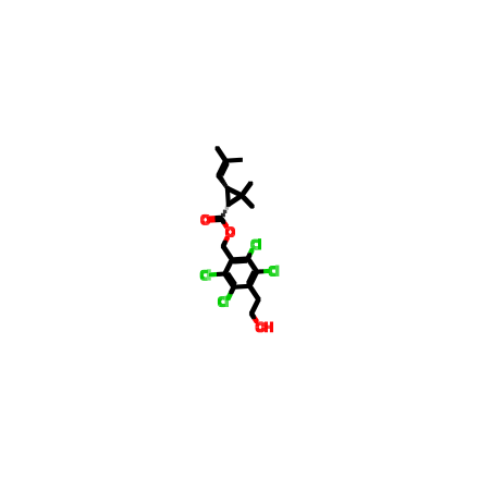 CC(C)=C[C@@H]1[C@@H](C(=O)OCc2c(Cl)c(Cl)c(CCO)c(Cl)c2Cl)C1(C)C